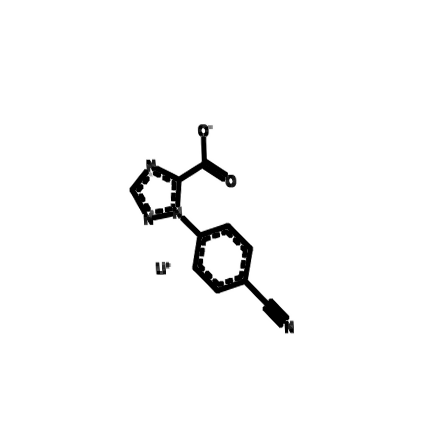 N#Cc1ccc(-n2ncnc2C(=O)[O-])cc1.[Li+]